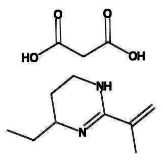 C=C(C)C1=NC(CC)CCN1.O=C(O)CC(=O)O